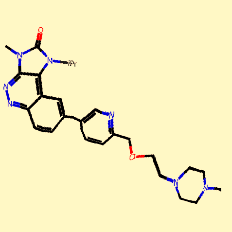 CC(C)n1c(=O)n(C)c2nnc3ccc(-c4ccc(COCCN5CCN(C)CC5)nc4)cc3c21